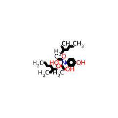 CCCCC(CC)COC(C(C)O)N(c1ccc(O)cc1)C(OCC(CC)CCCC)C(C)O